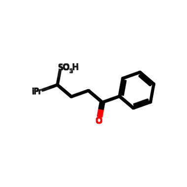 CC(C)C(CCC(=O)c1ccccc1)S(=O)(=O)O